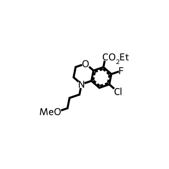 CCOC(=O)c1c(F)c(Cl)cc2c1OCCN2CCCOC